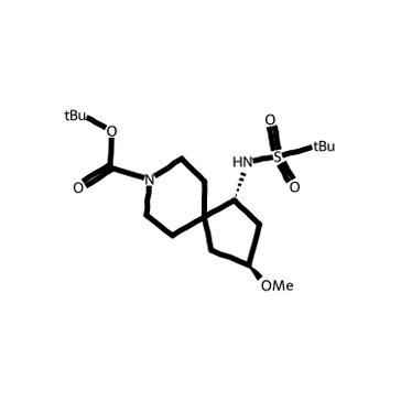 CO[C@@H]1C[C@@H](NS(=O)(=O)C(C)(C)C)C2(CCN(C(=O)OC(C)(C)C)CC2)C1